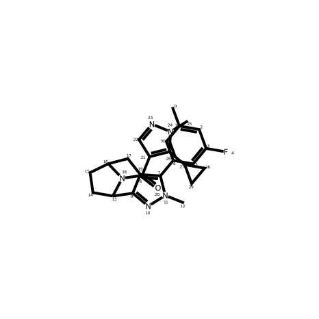 Cc1cc(F)cc(-c2c3c(nn2C)C2CCC(C3)N2C(=O)c2cnn(C)c2C2CC2)c1